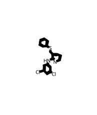 Clc1cc(Cl)cc(Nc2ncccc2CSc2ccccc2)c1